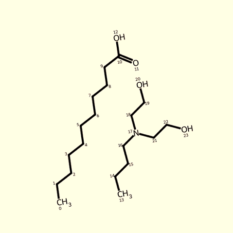 CCCCCCCCCCC(=O)O.CCCCN(CCO)CCO